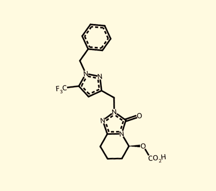 O=C(O)O[C@H]1CCCc2nn(Cc3cc(C(F)(F)F)n(Cc4ccccc4)n3)c(=O)n21